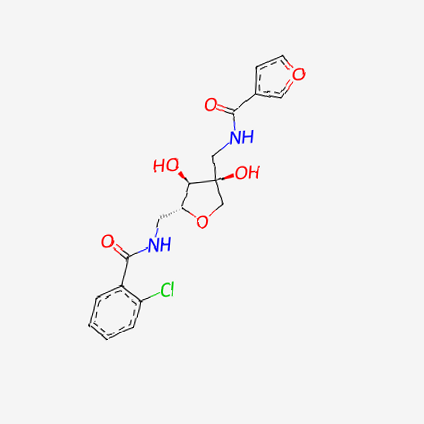 O=C(NC[C@]1(O)CO[C@H](CNC(=O)c2ccccc2Cl)[C@H]1O)c1ccoc1